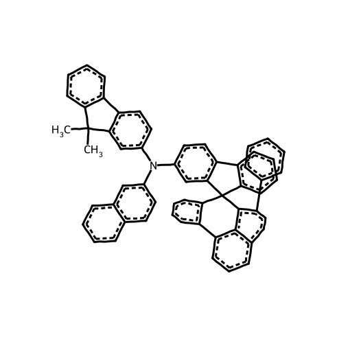 CC1(C)c2ccccc2-c2ccc(N(c3ccc4c(c3)C3(c5ccccc5-4)c4ccccc4-c4cccc5ccc(-c6ccccc6)c3c45)c3ccc4ccccc4c3)cc21